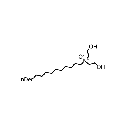 CCCCCCCCCCCCCCCCCCCC[N+]([O-])(CCO)CCO